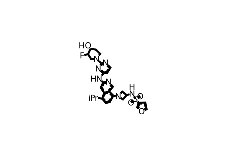 CC(C)c1ccc(N2CC(NS(=O)(=O)c3ccoc3)C2)c2cnc(Nc3ccnc(N4CCC(O)C(F)C4)n3)cc12